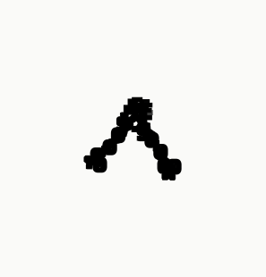 C=C(C)C(=O)OCCOCCOCc1cc(C2=C(c3cc(COCCOCCOC(=O)C(=C)C)sc3C)C(F)(F)C(F)(F)C2(F)F)c(C)s1